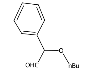 CCCCOC(C=O)c1ccccc1